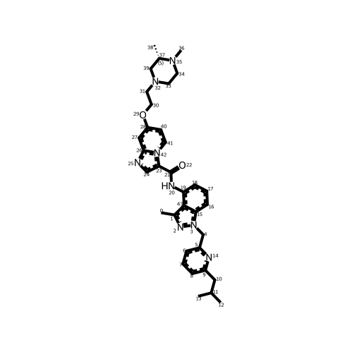 Cc1nn(Cc2cccc(CC(C)C)n2)c2cccc(NC(=O)c3cnc4cc(OCCN5CCN(C)[C@@H](C)C5)ccn34)c12